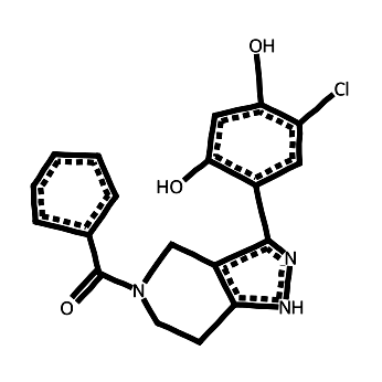 O=C(c1ccccc1)N1CCc2[nH]nc(-c3cc(Cl)c(O)cc3O)c2C1